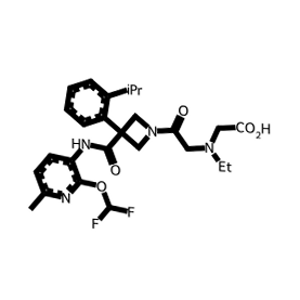 CCN(CC(=O)O)CC(=O)N1CC(C(=O)Nc2ccc(C)nc2OC(F)F)(c2ccccc2C(C)C)C1